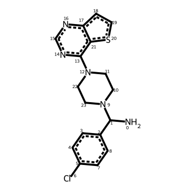 NC(c1ccc(Cl)cc1)N1CCN(c2ncnc3ccsc23)CC1